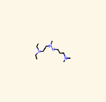 CCN(CC)CCN(C)[N]CCCN(C)C